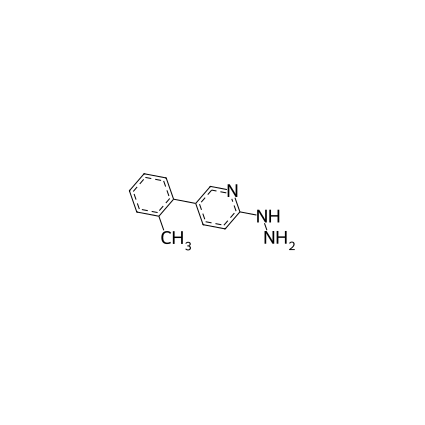 Cc1ccccc1-c1ccc(NN)nc1